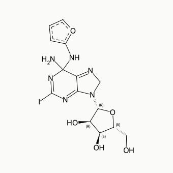 NC1(Nc2ccco2)N=C(I)N=C2C1=NCN2[C@@H]1O[C@H](CO)[C@@H](O)[C@H]1O